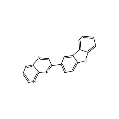 c1cnc2nc(-c3ccc4oc5ccccc5c4c3)cnc2c1